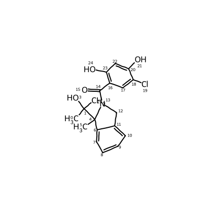 CC(C)(O)C1(C)c2ccccc2CN1C(=O)c1cc(Cl)c(O)cc1O